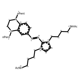 CCCCCN1CCN(CCCCC)c2cc(/N=N/c3n(CCCCNC(C)=O)cc[n+]3CCCCNC(C)=O)ccc21